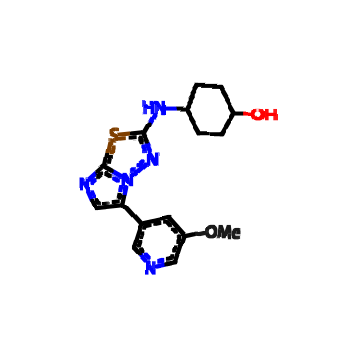 COc1cncc(-c2cnc3sc(NC4CCC(O)CC4)nn23)c1